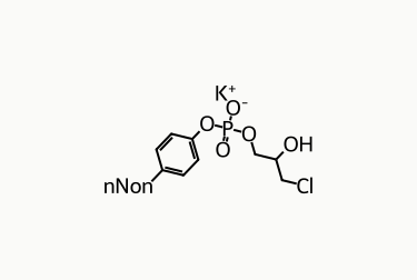 CCCCCCCCCc1ccc(OP(=O)([O-])OCC(O)CCl)cc1.[K+]